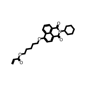 C=CC(=O)OCCCCCOc1ccc2c3c(cccc13)C(=O)N(C1CCCCC1)C2=O